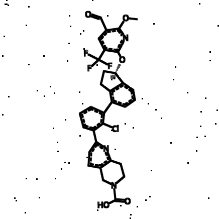 COc1nc(O[C@H]2CCc3c(-c4cccc(-c5ccc6c(n5)CCN(C(=O)O)C6)c4Cl)cccc32)c(C(F)(F)F)cc1C=O